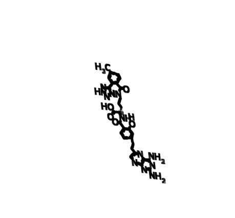 Cc1ccc(C(=O)NCCC[C@H](NC(=O)c2ccc(CCc3cnc4nc(N)nc(N)c4n3)cc2O)C(=O)O)c(-c2nn[nH]n2)c1